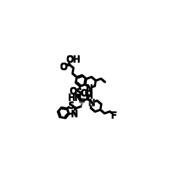 CCC1CNc2c(cc(CCC(=O)O)cc2S(=O)(=O)N[C@@H](Cc2nc3ccccc3s2)C(=O)N2CCC(CCF)CC2)C1